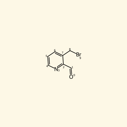 O=Cc1ncccc1CBr